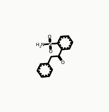 NS(=O)(=O)c1ccccc1C(=O)Cc1ccccc1